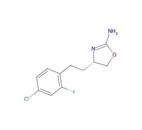 NC1=N[C@@H](CCc2ccc(Cl)cc2F)CO1